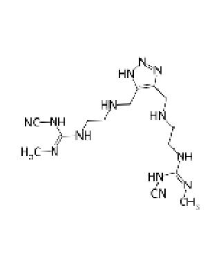 CN=C(NC#N)NCCNCc1nn[nH]c1CNCCNC(=NC)NC#N